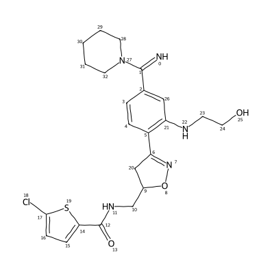 N=C(c1ccc(C2=NOC(CNC(=O)c3ccc(Cl)s3)C2)c(NCCO)c1)N1CCCCC1